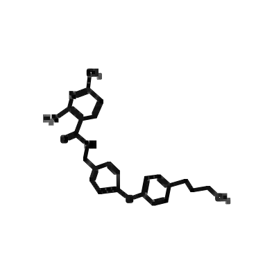 CCCCc1ccc(Oc2ccc(CNC(=O)c3ccc(C)nc3N)cc2)cc1